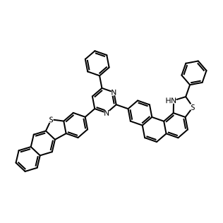 c1ccc(-c2cc(-c3ccc4c(c3)sc3cc5ccccc5cc34)nc(-c3ccc4c(ccc5ccc6c(c54)NC(c4ccccc4)S6)c3)n2)cc1